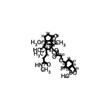 CNC(=O)CC[C@]1(C)C[C@@H](OC(=O)COc2ccc3c(c2F)B(O)OC3)[C@]2(C)[C@H](C)CC[C@]3(CCC(=O)[C@H]32)[C@@H](C)[C@@H]1O